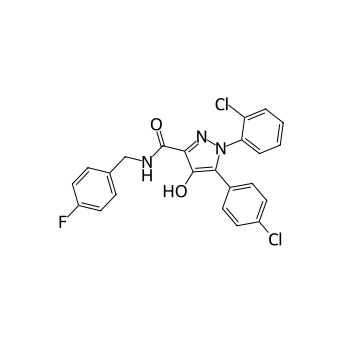 O=C(NCc1ccc(F)cc1)c1nn(-c2ccccc2Cl)c(-c2ccc(Cl)cc2)c1O